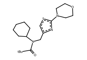 CC(C)(C)C(=O)N(Cc1csc(N2CCOCC2)n1)C1CCCCC1